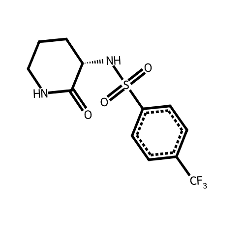 O=C1NCCC[C@@H]1NS(=O)(=O)c1ccc(C(F)(F)F)cc1